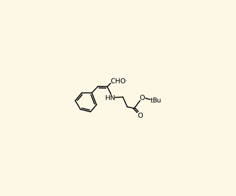 CC(C)(C)OC(=O)CCNC([C]=O)=Cc1ccccc1